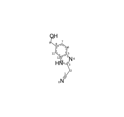 N#CCc1nc2ccc(CO)cc2[nH]1